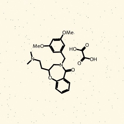 COc1cc(CN2CC(CCN(C)C)Oc3ccccc3C2=O)cc(OC)c1.O=C(O)C(=O)O